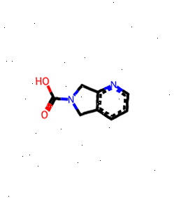 O=C(O)N1Cc2cccnc2C1